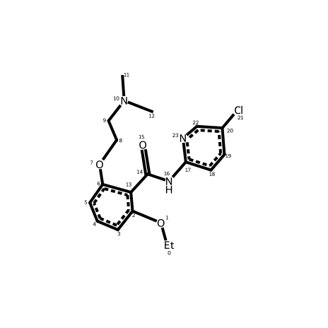 CCOc1cccc(OCCN(C)C)c1C(=O)Nc1ccc(Cl)cn1